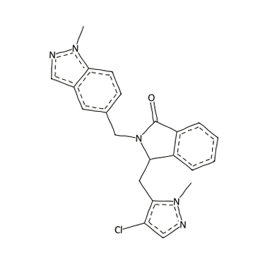 Cn1ncc(Cl)c1CC1c2ccccc2C(=O)N1Cc1ccc2c(cnn2C)c1